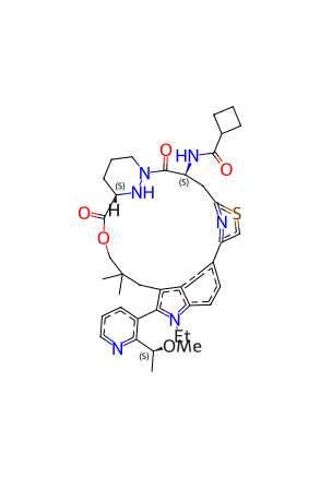 CCn1c(-c2cccnc2[C@H](C)OC)c2c3cc(ccc31)-c1csc(n1)C[C@H](NC(=O)C1CCC1)C(=O)N1CCC[C@H](N1)C(=O)OCC(C)(C)C2